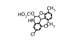 Cc1ccc(C)c2c1OC1C(OC(=O)O)Nc3cc(Cl)cc(Cl)c3C21